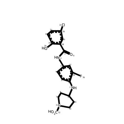 O=C(Nc1ccc(NC2CCN(C(=O)O)CC2)c(F)c1)c1cc(Cl)ccc1O